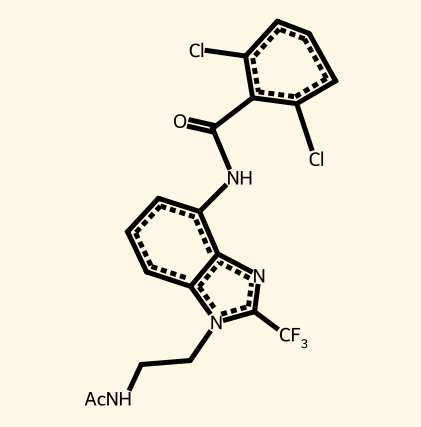 CC(=O)NCCn1c(C(F)(F)F)nc2c(NC(=O)c3c(Cl)cccc3Cl)cccc21